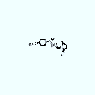 O=C(O)C1CCN([N+]([O-])=NOCN2C(=O)CCC2=O)CC1